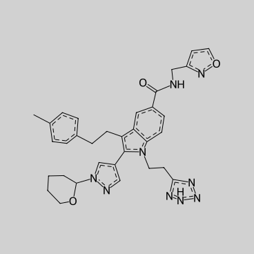 Cc1ccc(CCc2c(-c3cnn(C4CCCCO4)c3)n(CCc3nn[nH]n3)c3ccc(C(=O)NCc4ccon4)cc23)cc1